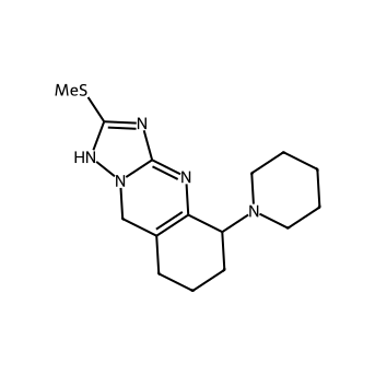 CSC1=NC2=NC3=C(CCCC3N3CCCCC3)CN2N1